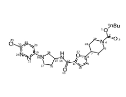 CCCCOC(=O)N1CCC(c2ccc(C(=O)NC3CCN(c4ccc(Cl)nn4)C3)o2)CC1